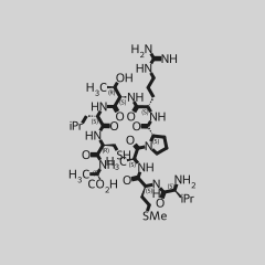 CSCC[C@H](NC(=O)[C@@H](N)C(C)C)C(=O)N[C@@H](C)C(=O)N1CCC[C@H]1C(=O)N[C@@H](CCCNC(=N)N)C(=O)N[C@H](C(=O)N[C@@H](CC(C)C)C(=O)N[C@@H](CS)C(=O)N[C@@H](C)C(=O)O)[C@@H](C)O